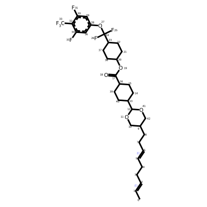 C/C=C/CC/C=C/CCC1COC(C2CCC(C(=O)OC3CCC(C(F)(F)Oc4cc(F)c(C(F)(F)F)c(F)c4)CC3)CC2)OC1